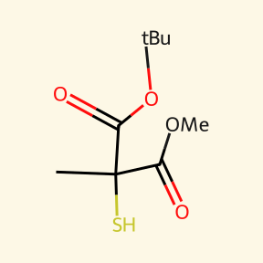 COC(=O)C(C)(S)C(=O)OC(C)(C)C